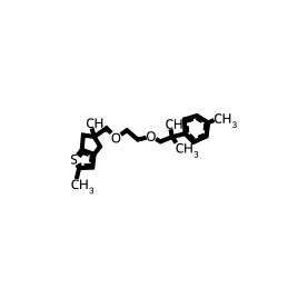 Cc1ccc(C(C)(C)COCCOCC2(C)Cc3cc(C)sc3C2)cc1